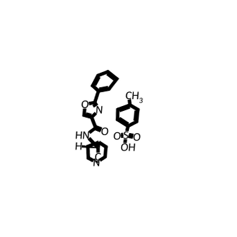 Cc1ccc(S(=O)(=O)O)cc1.O=C(N[C@H]1CN2CCC1CC2)c1coc(-c2ccccc2)n1